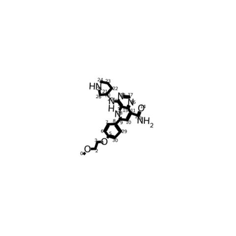 COCCOc1ccc(-c2cc(C(N)=O)c3ncnc(N[C@H]4CCCNC4)c3n2)cc1